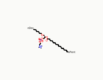 CCCCC/C=C/C/C=C/C/C=C/C/C=C/CCCC(=O)O[C@H](COCCCCCCCCCCCCCCCC)COP(=O)([O-])OCC[N+](C)(C)C